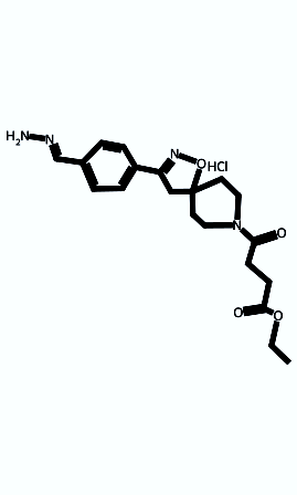 CCOC(=O)CCC(=O)N1CCC2(CC1)CC(c1ccc(C=NN)cc1)=NO2.Cl